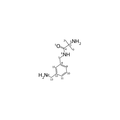 CC(C)(N)C(=O)NCc1cccc(CN)c1